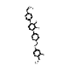 C=Cc1ccc(-c2ccc(-c3ccc(COc4ccc(OCC)c(F)c4)cc3)c(F)c2F)cc1